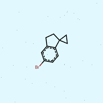 Brc1ccc2c(c1)CCC21CC1